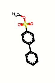 COS(=O)(=O)c1ccc(-c2ccccc2)cc1